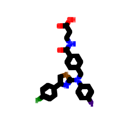 O=C(O)CCNC(=O)c1ccc(CN(c2ccc(I)cc2)c2nc(-c3ccc(F)cc3)cs2)cc1